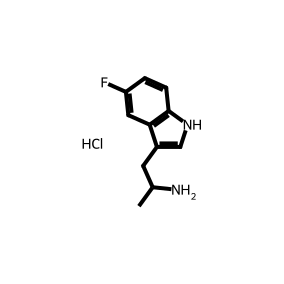 CC(N)Cc1c[nH]c2ccc(F)cc12.Cl